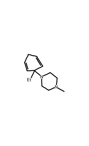 CCC1(N2CCN(C)CC2)C=C[CH]C=C1